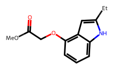 CCc1cc2c(OCC(=O)OC)cccc2[nH]1